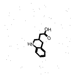 O=C(O)CC1CNc2ccccc2C1